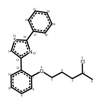 CC(Cl)CCCOc1ccccc1-c1csc(-c2ccccc2)n1